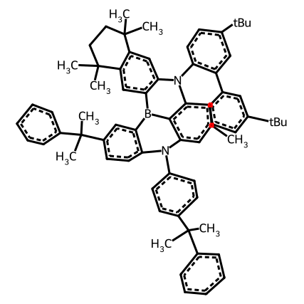 Cc1cc2c3c(c1)N(c1ccc(C(C)(C)C)cc1-c1cccc(C(C)(C)C)c1)c1cc4c(cc1B3c1cc(C(C)(C)c3ccccc3)ccc1N2c1ccc(C(C)(C)c2ccccc2)cc1)C(C)(C)CCC4(C)C